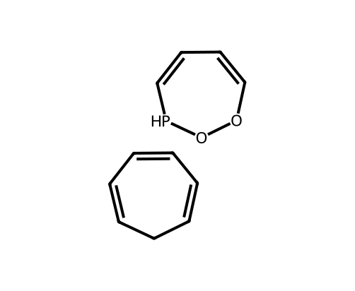 C1=CC=CCC=C1.c1cc[pH]ooc1